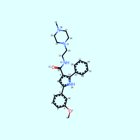 COc1cccc(-c2cc(C(=O)NCCN3CCN(C)CC3)c(-c3ccccc3)[nH]2)c1